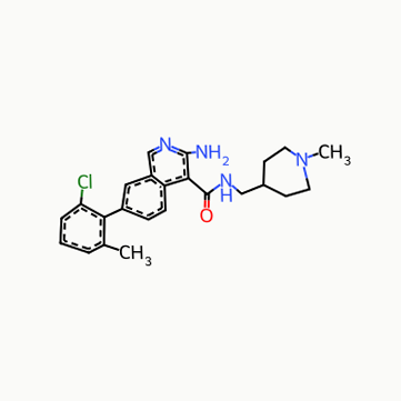 Cc1cccc(Cl)c1-c1ccc2c(C(=O)NCC3CCN(C)CC3)c(N)ncc2c1